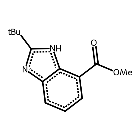 COC(=O)c1cccc2nc(C(C)(C)C)[nH]c12